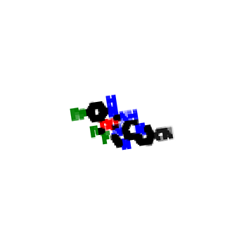 C[C@H](NC(=O)Nc1ccc(Br)cc1OC(F)F)c1nccnc1-c1ccc(C#N)cn1